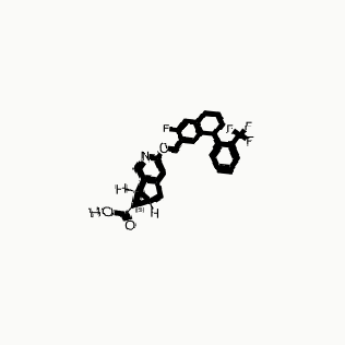 O=C(O)[C@H]1[C@@H]2Cc3cc(OCc4cc5c(cc4F)CCCC5c4ccccc4C(F)(F)F)ncc3[C@@H]21